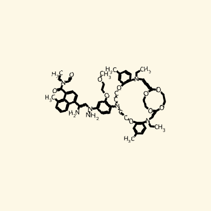 CCN(C=O)C(=O)c1ccc(/C(N)=C/N(N)c2ccc(N3CCOc4cc(C)ccc4N(CC)C=C4OCCOC(=CN(CC)c5ccc(C)cc5OCC3)OCCO4)c(OCCOC)c2)c2cccc(C)c12